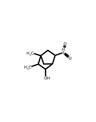 CC1C(O)C2CC1(C)CC2[SH](=O)=O